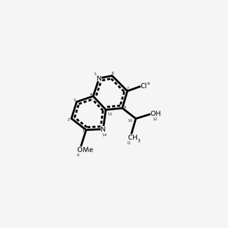 COc1ccc2ncc(Cl)c(C(C)O)c2n1